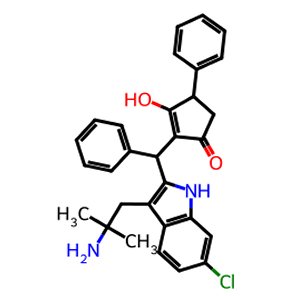 CC(C)(N)Cc1c(C(C2=C(O)C(c3ccccc3)CC2=O)c2ccccc2)[nH]c2cc(Cl)ccc12